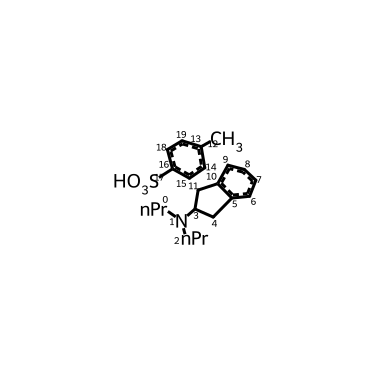 CCCN(CCC)C1Cc2ccccc2C1.Cc1ccc(S(=O)(=O)O)cc1